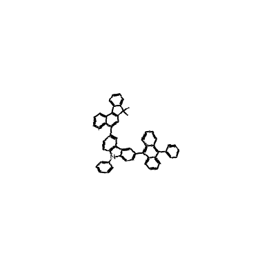 CC1(C)c2ccccc2-c2c1cc(-c1ccc3c(c1)c1cc(-c4c5ccccc5c(-c5ccccc5)c5ccccc45)ccc1n3-c1ccccc1)c1ccccc21